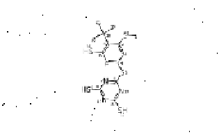 CSc1cc(Sc2nc(S)nc(S)n2)cc(S)c1C(C)(C)C